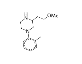 COCCC1CN(c2ccccc2C)CCN1